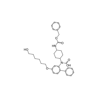 O=C(NC1CCC(N(C(=O)O)c2cc(OCCCCCCO)ccc2-c2ccccc2)CC1)OCc1ccccc1